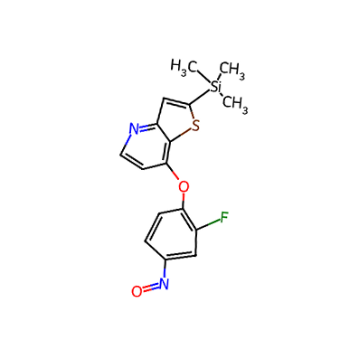 C[Si](C)(C)c1cc2nccc(Oc3ccc(N=O)cc3F)c2s1